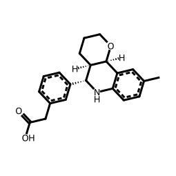 Cc1ccc2c(c1)[C@@H]1OCCC[C@@H]1[C@@H](c1cccc(CC(=O)O)c1)N2